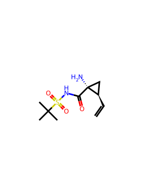 C=C[C@@H]1C[C@]1(N)C(=O)NS(=O)(=O)C(C)(C)C